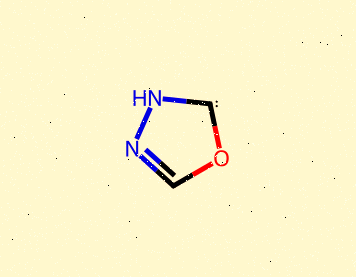 [C]1NN=CO1